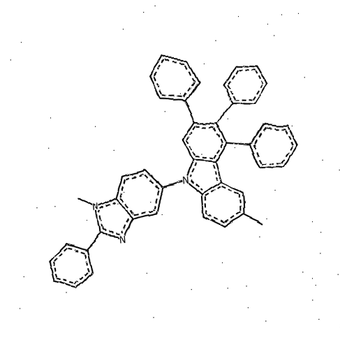 Cc1ccc2c(c1)c1c(-c3ccccc3)c(-c3ccccc3)c(-c3ccccc3)cc1n2-c1ccc2c(c1)nc(-c1ccccc1)n2C